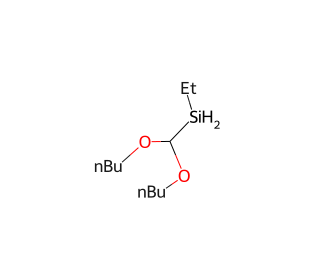 [CH2]C[SiH2]C(OCCCC)OCCCC